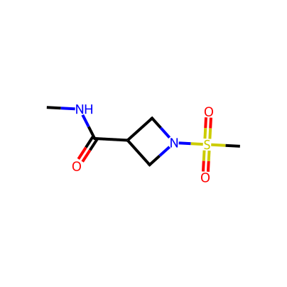 CNC(=O)C1CN(S(C)(=O)=O)C1